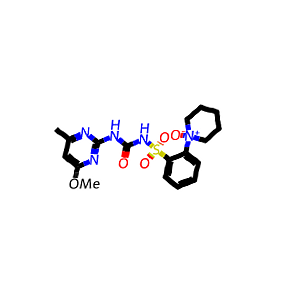 COc1cc(C)nc(NC(=O)NS(=O)(=O)c2ccccc2[N+]2([O-])CCCCC2)n1